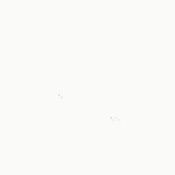 COC1(CN)[CH]C=CC=C1